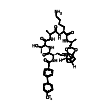 C[C@H](NC(=O)[C@H](CCCCN)NC(=O)[C@H](C)NC(=O)[C@@H](NC(=O)[C@H](CCN)NC(=O)c1ccc(-c2ccc(C(F)(F)F)cc2)cc1)[C@@H](C)O)B1OC2C[C@@H]3C[C@@H](C3(C)C)[C@]2(C)O1